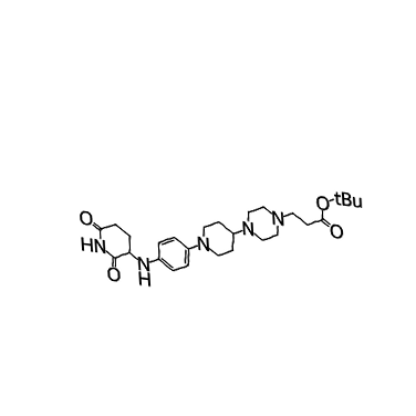 CC(C)(C)OC(=O)CCN1CCN(C2CCN(c3ccc(NC4CCC(=O)NC4=O)cc3)CC2)CC1